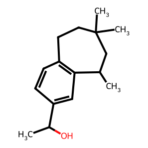 CC(O)c1ccc2c(c1)C(C)CC(C)(C)CC2